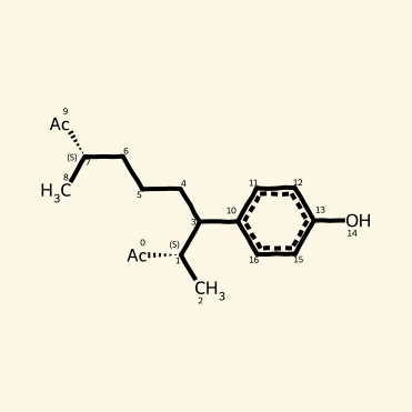 CC(=O)[C@@H](C)C(CCC[C@H](C)C(C)=O)c1ccc(O)cc1